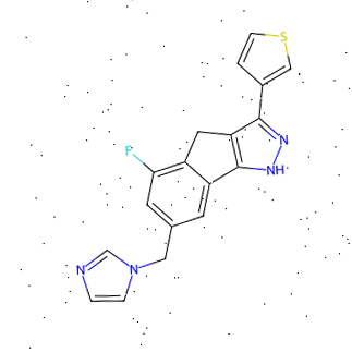 Fc1cc(Cn2ccnc2)cc2c1Cc1c(-c3ccsc3)n[nH]c1-2